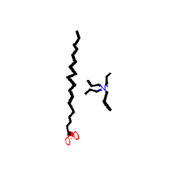 CCCCCCCCCCCCCCCCCC(=O)[O-].CCC[N+](CCC)(CCC)CCC